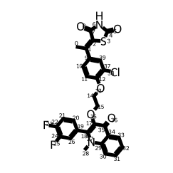 C/C(=C1/SC(=O)NC1=O)c1ccc(OCCOc2c(-c3ccc(F)c(F)c3)n(C)c3ccccc3c2=O)c(Cl)c1